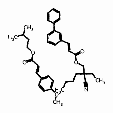 CCCCC(C#N)(CC)COC(=O)C=Cc1cccc(-c2ccccc2)c1.COc1ccc(C=CC(=O)OCCC(C)C)cc1